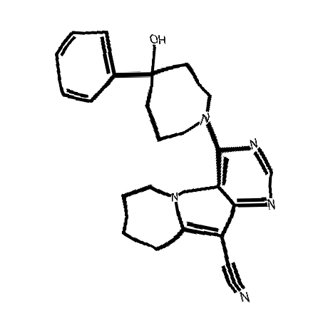 N#Cc1c2n(c3c(N4CCC(O)(c5ccccc5)CC4)ncnc13)CCCC2